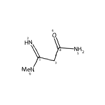 CNC(=N)CC(N)=O